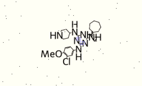 COc1ccc(NC(=N/CNC2CCCCCC2)/N=C(\N)NC2CCNCC2)cc1Cl